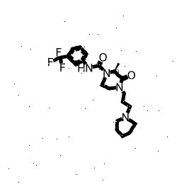 C[C@H]1C(=O)N(CCCN2CCCCC2)CCN1C(=O)Nc1cccc(C(F)(F)F)c1